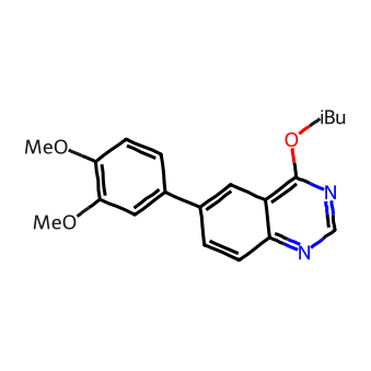 CCC(C)Oc1ncnc2ccc(-c3ccc(OC)c(OC)c3)cc12